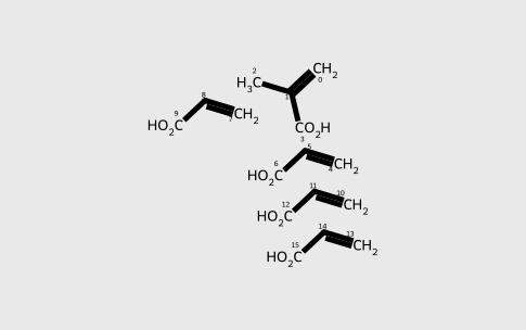 C=C(C)C(=O)O.C=CC(=O)O.C=CC(=O)O.C=CC(=O)O.C=CC(=O)O